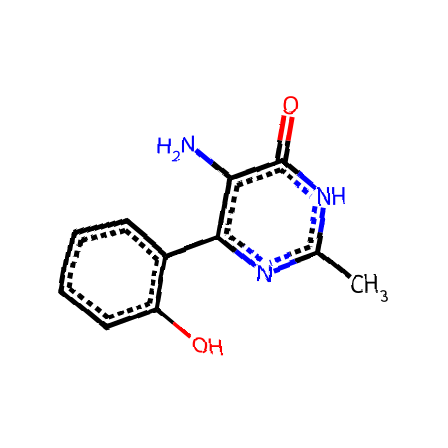 Cc1nc(-c2ccccc2O)c(N)c(=O)[nH]1